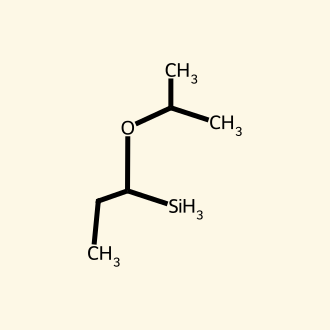 CCC([SiH3])OC(C)C